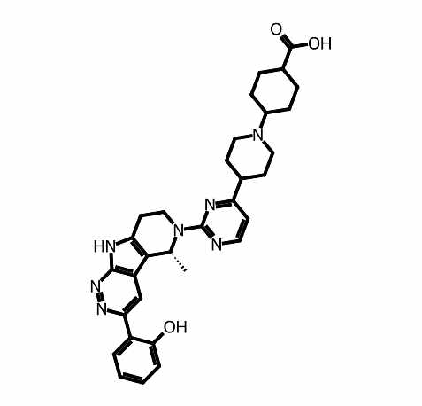 C[C@@H]1c2c([nH]c3nnc(-c4ccccc4O)cc23)CCN1c1nccc(C2CCN(C3CCC(C(=O)O)CC3)CC2)n1